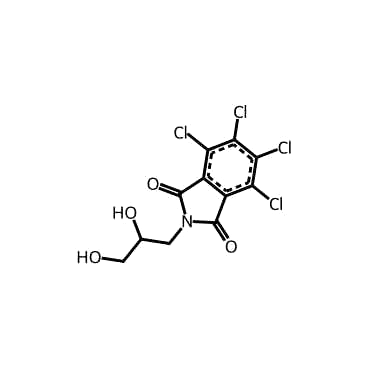 O=C1c2c(Cl)c(Cl)c(Cl)c(Cl)c2C(=O)N1CC(O)CO